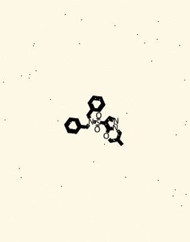 CC1COc2c(S(=O)(=O)N(Cc3ccccc3)Cc3ccccc3)cnn2C1